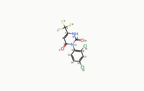 O=c1cc(C(F)(F)F)[nH]c(=O)n1-c1ccc(Cl)cc1Cl